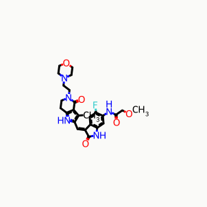 COCC(=O)Nc1cc2c(cc1F)/C(=C\c1[nH]c3c(c1C)C(=O)N(CCN1CCOCC1)CC3)C(=O)N2